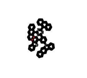 c1ccc2cc3c(cc2c1)c1ccccc1n3-c1ccc(-c2nc(-c3c4ccccc4cc4ccccc34)nc(-c3c4ccccc4cc4ccccc34)n2)c(-c2cccc3c2oc2ccccc23)c1